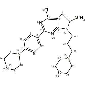 CC1Cc2c(Cl)nc(-c3ccc(N4CCNCC4)cc3)nc2N1CCCN1CCOCC1